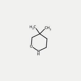 CC1(C)CCNOC1